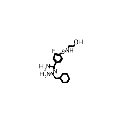 N/C(=N\N(N)CC1CCCCC1)c1ccc(SNCCO)c(F)c1